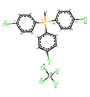 C[P+](c1ccc(Cl)cc1)(c1ccc(Cl)cc1)c1ccc(Cl)cc1.[Cl][Fe-]([Cl])([Cl])[Cl]